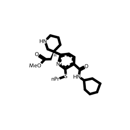 CCCSc1nc([C@@]2(CC(=O)OC)CCCNC2)ccc1C(=O)NC1CCCCC1